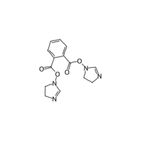 O=C(ON1C=NCC1)c1ccccc1C(=O)ON1C=NCC1